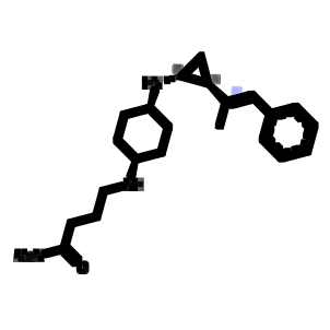 CNC(=O)CCCN[C@H]1CC[C@@H](N[C@@H]2C[C@H]2/C(C)=C/c2ccccc2)CC1